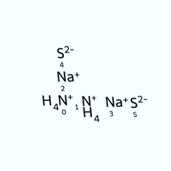 [NH4+].[NH4+].[Na+].[Na+].[S-2].[S-2]